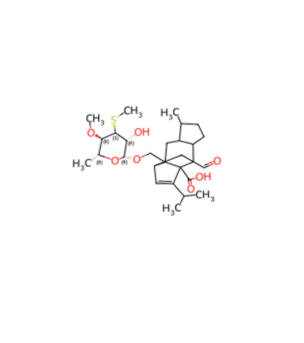 CO[C@H]1[C@@H](SC)[C@H](O)[C@H](OCC23CC4C(C)CCC4C4(C=O)CC2C=C(C(C)C)C43C(=O)O)O[C@@H]1C